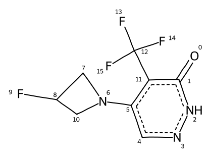 O=c1[nH]ncc(N2CC(F)C2)c1C(F)(F)F